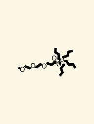 CCCCP(CCCC)(CCCC)(CCCC)OC(=O)CCOCCOCCOC